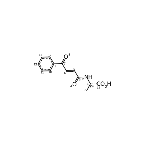 C[C@H](NC(=O)C=CC(=O)c1ccccc1)C(=O)O